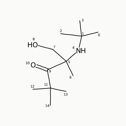 CC(C)(C)NC(C)(CO)C(=O)C(C)(C)C